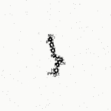 CCC1(C(=O)NC(C)C)CCN(c2ccc(-c3nc(-c4cnn([C@H]5CC[C@H](N6CCC(c7ccc(N)cc7F)CC6)CC5)c4)cn4ncc(C#N)c34)cn2)CC1